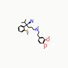 COc1ccc(CCN(C)CCCC(C#N)(c2ccccc2SC)C(C)C)cc1OC